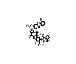 Cc1cc2cc(C(=O)c3cnn(-c4cnc(Oc5c(F)cccc5F)cc4C)c3N)[nH]c2cc1N1C(=O)NC2(CCCC2)C1=O